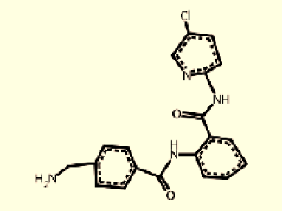 NCc1ccc(C(=O)Nc2ccccc2C(=O)Nc2ccc(Cl)cn2)cc1